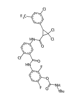 CC(C)(C)NC(=O)Oc1c(F)ccc(NC(=O)c2cc(NC(=O)C3C(c4cc(Cl)cc(C(F)(F)F)c4)C3(Cl)Cl)ccc2Cl)c1F